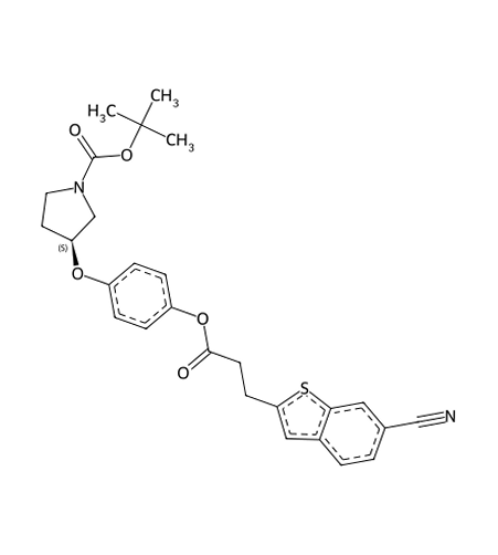 CC(C)(C)OC(=O)N1CC[C@H](Oc2ccc(OC(=O)CCc3cc4ccc(C#N)cc4s3)cc2)C1